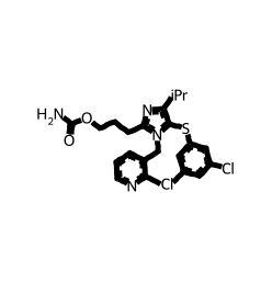 Cc1ncccc1Cn1c(CCCOC(N)=O)nc(C(C)C)c1Sc1cc(Cl)cc(Cl)c1